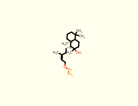 C/C(=C/COPP)CC[C@H]1C(C)(O)CCC2C(C)(C)CCC[C@@]21C